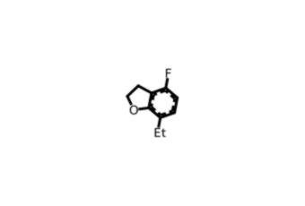 CCc1ccc(F)c2c1OCC2